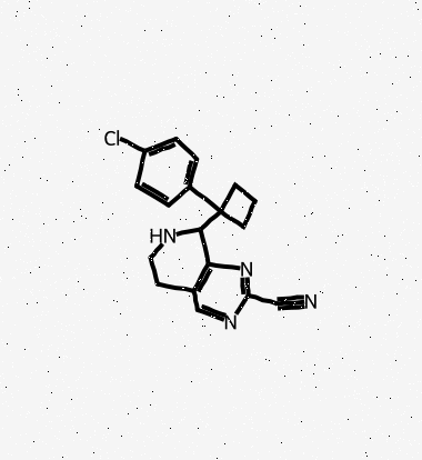 N#Cc1ncc2c(n1)C(C1(c3ccc(Cl)cc3)CCC1)NCC2